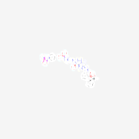 CC(C)(C)[Si](OC1CN(c2nc(C(=O)NC3CCN(C(=O)OCc4ccc([N+](=O)[O-])cc4)C3)cs2)C1)(c1ccccc1)c1ccccc1